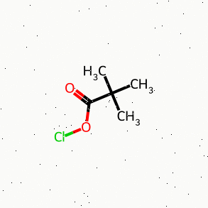 CC(C)(C)C(=O)OCl